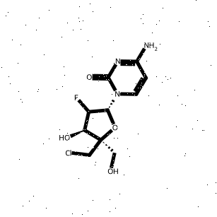 Nc1ccn([C@@H]2O[C@@](CO)(CCl)[C@@H](O)C2F)c(=O)n1